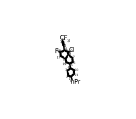 CCCc1ccc(-c2ccc3c(Cl)c(C#CC(F)(F)F)c(F)cc3c2)cc1